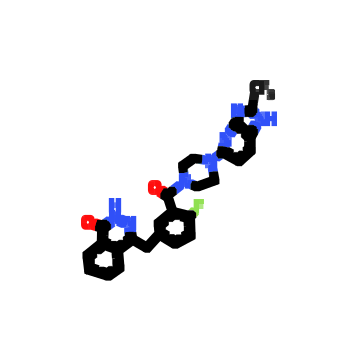 O=C(c1cc(Cc2n[nH]c(=O)c3ccccc23)ccc1F)N1CCN(c2ccc3[nH]c(C(F)(F)F)nc3n2)CC1